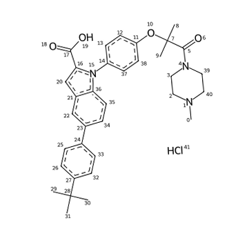 CN1CCN(C(=O)C(C)(C)Oc2ccc(-n3c(C(=O)O)cc4cc(-c5ccc(C(C)(C)C)cc5)ccc43)cc2)CC1.Cl